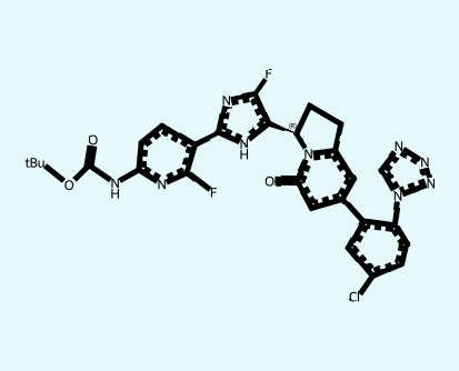 CC(C)(C)OC(=O)Nc1ccc(-c2nc(F)c([C@H]3CCc4cc(-c5cc(Cl)ccc5-n5cnnn5)cc(=O)n43)[nH]2)c(F)n1